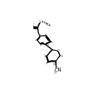 CCCCCCC(C)c1ccc(C2CCC(C#N)CC2)cc1